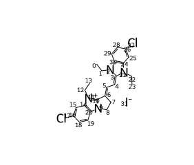 CCN1C(=CC=C2CCn3c2[n+](CC)c2cc(Cl)ccc23)N(CC)c2cc(Cl)ccc21.[I-]